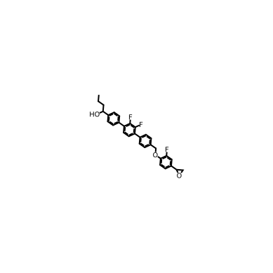 CCCC(O)c1ccc(-c2ccc(-c3ccc(COc4ccc(C5CO5)cc4F)cc3)c(F)c2F)cc1